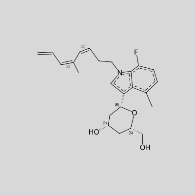 C=C/C=C(C)\C=C/CCn1cc([C@H]2C[C@@H](O)C[C@@H](CO)O2)c2c(C)ccc(F)c21